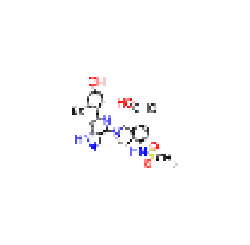 CCc1cc(O)ccc1-c1cc2[nH]ncc2c(N2CCc3c(cccc3NS(C)(=O)=O)C2)n1.O=CO